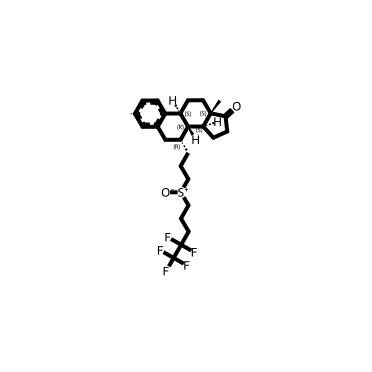 C[C@]12CC[C@@H]3c4cc[c]cc4C[C@@H](CCC[S+]([O-])CCCC(F)(F)C(F)(F)F)[C@H]3[C@@H]1CCC2=O